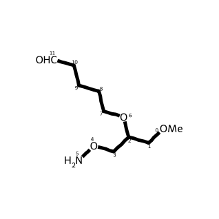 COCC(CON)OCCCCC=O